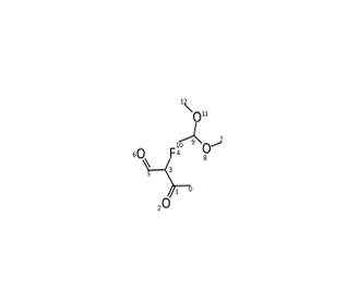 CC(=O)C(F)C=O.COC(C)OC